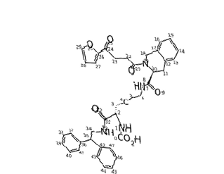 O=C(O)N[C@@H](CCCCNC(=O)[C@@H]1Cc2ccccc2CN1C(=O)CCC(=O)c1ccco1)C(=O)NCC(c1ccccc1)c1ccccc1